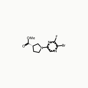 COC(=O)[C@H]1CCN(c2cnc(Br)c(F)n2)C1